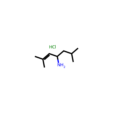 CC(C)=CC(N)CC(C)C.Cl